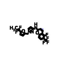 CC(F)(F)c1ccc(Cn2ccc(NC(=O)/C=C\c3cccc(C(F)(F)F)c3F)n2)o1